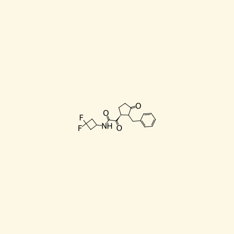 O=C(NC1CC(F)(F)C1)C(=O)[C@H]1CCC(=O)C1Cc1ccccc1